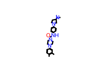 Cc1ccc(N2CCN(C(=O)Nc3ccc(N4CCC(N(C)C)C4)cc3)CC2)cc1C